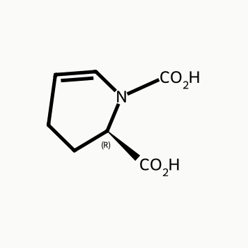 O=C(O)[C@H]1CCC=CN1C(=O)O